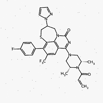 C=CC(=O)N1[C@H](C)CN(c2nc(=O)n3c4c(c(-c5ccc(F)cc5)c(C(F)(F)F)cc24)SCC(n2cccn2)C3)C[C@@H]1C